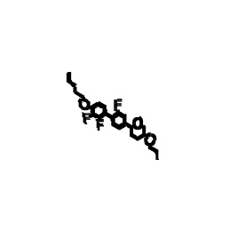 C=CCCCOc1ccc(-c2ccc(C3CCC(OCCC)CO3)cc2F)c(F)c1F